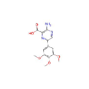 COc1cc(-c2cnc(N)c(C(=O)O)n2)cc(OC)c1OC